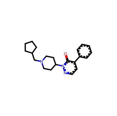 O=c1c(-c2ccccc2)ccnn1C1CCN(CC2CCCC2)CC1